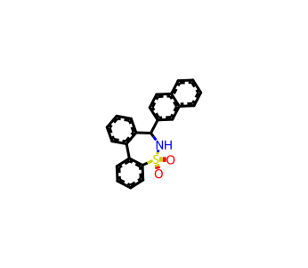 O=S1(=O)NC(c2ccc3ccccc3c2)c2ccccc2-c2ccccc21